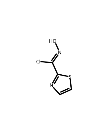 ON=C(Cl)c1nccs1